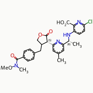 CON(C)C(=O)c1ccc(CC2COC(=O)[C@@H]2c2cc(C)cc([C@@H](C)Nc3ccc(Cl)nc3C(=O)O)n2)cc1